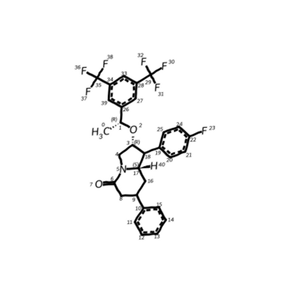 C[C@@H](O[C@H]1CN2C(=O)CC(c3ccccc3)C[C@H]2C1c1ccc(F)cc1)c1cc(C(F)(F)F)cc(C(F)(F)F)c1